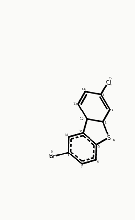 ClC1=CC2Sc3ccc(Br)cc3C2C=C1